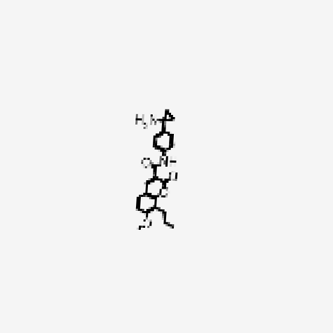 CCCc1c(OC)ccc2cc(C(=O)Nc3ccc(C4(N)CC4)cc3)c(=O)oc12